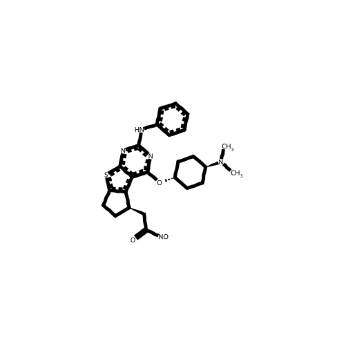 CN(C)[C@H]1CC[C@H](Oc2nc(Nc3ccccc3)nc3sc4c(c23)[C@@H](CC(=O)N=O)CC4)CC1